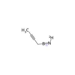 [2H]/N=B/CC#CC